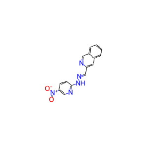 O=[N+]([O-])c1ccc(N/N=C/c2cc3ccccc3cn2)nc1